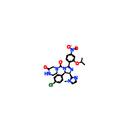 CC(C)Oc1cc([N+](=O)[O-])ccc1C1=N[C@@H](c2nccn2C)[C@@H](c2ccc(Cl)cc2)N1C(=O)N1CCNC(=O)C1